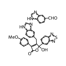 COc1ccc(C2=C(Cc3ccc4[nH]cnc4c3)C(O)(c3ccc4nsnc4c3)OC2=O)cc1.O=Cc1ccc2[nH]cnc2c1